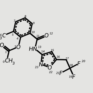 CC(=O)Oc1c(C)cccc1C(=O)Nc1cc(CC(F)(F)F)on1